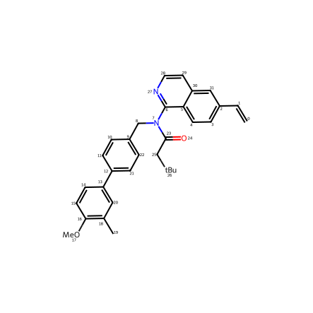 C=Cc1ccc2c(N(Cc3ccc(-c4ccc(OC)c(C)c4)cc3)C(=O)CC(C)(C)C)nccc2c1